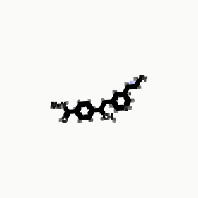 CNC(=O)c1ccc(C(C)Cc2cncc(/C=C/C(C)C)c2)cc1